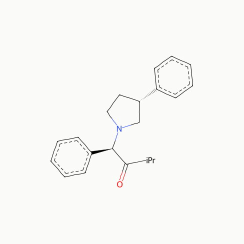 CC(C)C(=O)[C@@H](c1ccccc1)N1CC[C@H](c2ccccc2)C1